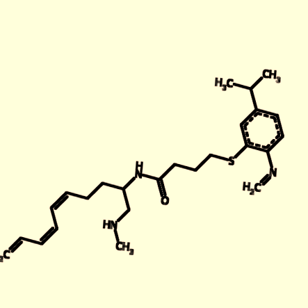 C=C/C=C\C=C/CCC(CNC)NC(=O)CCCSc1cc(C(C)C)ccc1N=C